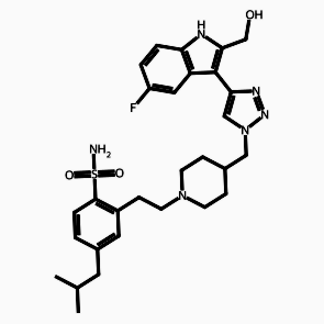 CC(C)Cc1ccc(S(N)(=O)=O)c(CCN2CCC(Cn3cc(-c4c(CO)[nH]c5ccc(F)cc45)nn3)CC2)c1